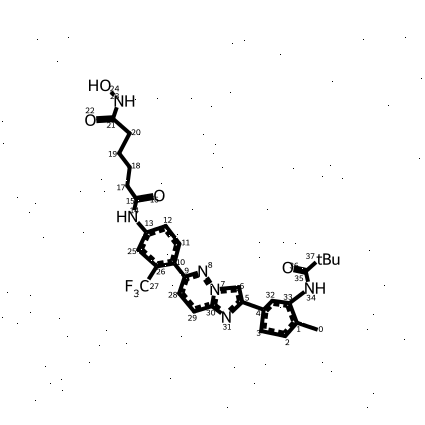 Cc1ccc(-c2cn3nc(-c4ccc(NC(=O)CCCCC(=O)NO)cc4C(F)(F)F)ccc3n2)cc1NC(=O)C(C)(C)C